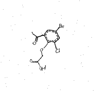 CC(=O)c1cc(Br)cc(Cl)c1OCC(=O)O